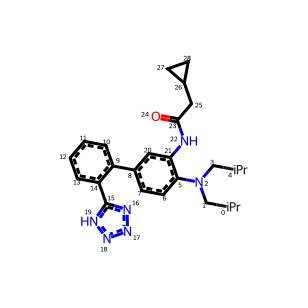 CC(C)CN(CC(C)C)c1ccc(-c2ccccc2-c2nnn[nH]2)cc1NC(=O)CC1CC1